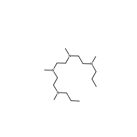 CCCN(C)CCN(C)CCN(C)CCN(C)CCC